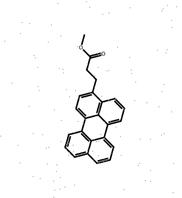 COC(=O)CCc1ccc2c3cccc4cccc(c5cccc1c52)c43